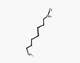 [CH2]CNCCCCCCCN